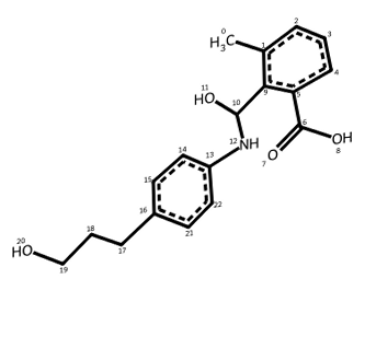 Cc1cccc(C(=O)O)c1C(O)Nc1ccc(CCCO)cc1